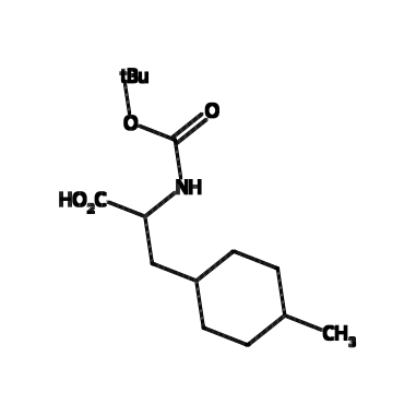 CC1CCC(CC(NC(=O)OC(C)(C)C)C(=O)O)CC1